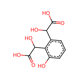 O=C(O)C(O)c1cccc(O)c1C(O)C(=O)O